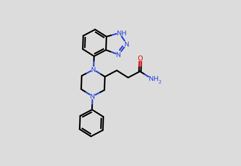 NC(=O)CCC1CN(c2ccccc2)CCN1c1cccc2[nH]nnc12